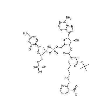 CC(C)(C)OC(=O)N[C@H](CCCCNSc1ncccc1[N+](=O)[O-])C(=O)OC1C(COP(=O)(O)O[C@H]2C[C@H](n3ccc(N)nc3=O)O[C@@H]2COP(=O)(O)O)OC(n2cnc3c(N)ncnc32)C1O